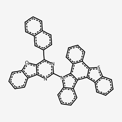 c1ccc2cc(-c3nc(-n4c5ccccc5c5c6c7ccccc7sc6c6ccccc6c54)nc4c3oc3ccccc34)ccc2c1